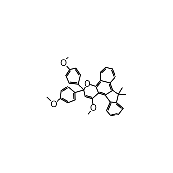 COC1=CC(c2ccc(OC)cc2)(c2ccc(OC)cc2)Oc2c1c1c(c3ccccc23)C(C)(C)c2ccccc2-1